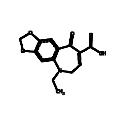 CCN1CC=C(C(=O)O)C(=O)c2cc3c(cc21)OCO3